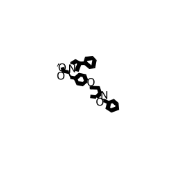 COC(=O)[C@H](Cc1ccc(OCCc2nc(-c3ccccc3)oc2C)cc1)n1ccc(-c2ccccc2)c1